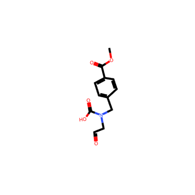 COC(=O)c1ccc(CN(CC=O)C(=O)O)cc1